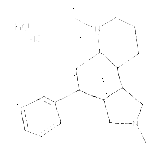 CN1CC2C(c3ccccc3)CC3C(CCCN3C)C2C1.Cl.Cl